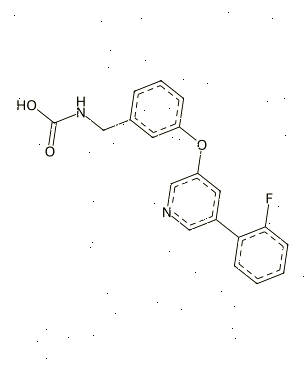 O=C(O)NCc1cccc(Oc2cncc(-c3ccccc3F)c2)c1